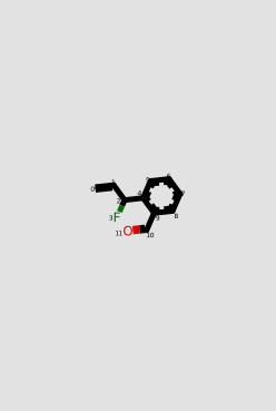 C=CC(F)c1ccccc1C=O